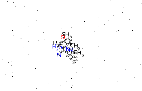 COc1ccc(C)c(-c2c(N)c(C#N)c3cc(C4CCCC4)c(C)nn23)c1C